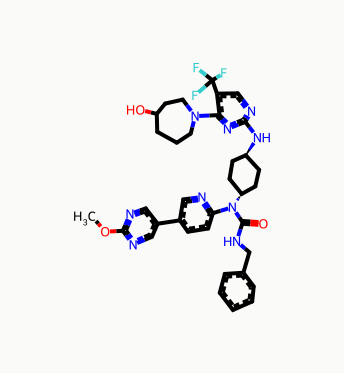 COc1ncc(-c2ccc(N(C(=O)NCc3ccccc3)[C@H]3CC[C@H](Nc4ncc(C(F)(F)F)c(N5CCCC(O)CC5)n4)CC3)nc2)cn1